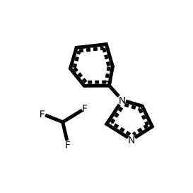 FC(F)F.c1ccc(-n2ccnc2)cc1